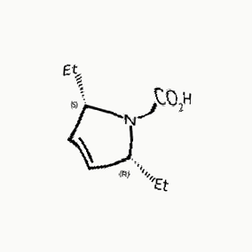 CC[C@H]1C=C[C@@H](CC)N1C(=O)O